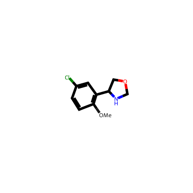 COc1ccc(Cl)cc1C1COCN1